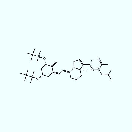 C=C1C(=CC=C2CCC[C@]3(C)C([C@H](C)ON(CC(C)C)C(C)=O)=CCC23)C[C@@H](O[Si](C)(C)C(C)(C)C)C[C@@H]1O[Si](C)(C)C(C)(C)C